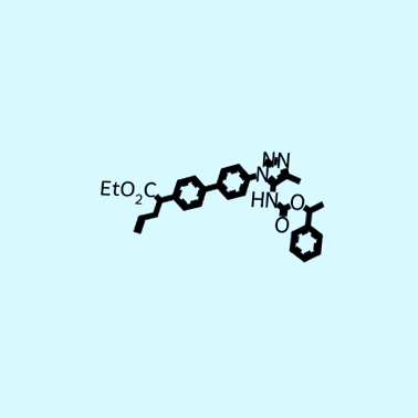 C=CCC(C(=O)OCC)c1ccc(-c2ccc(-n3nnc(C)c3NC(=O)OC(C)c3ccccc3)cc2)cc1